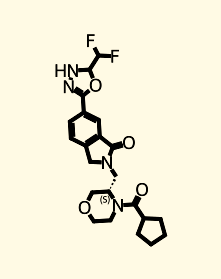 O=C1c2cc(C3=NNC(C(F)F)O3)ccc2CN1C[C@H]1COCCN1C(=O)C1CCCC1